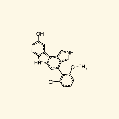 COc1cccc(Cl)c1-c1cc2[nH]c3ccc(O)cc3c2c2c[nH]cc12